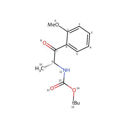 COc1ccccc1C(=O)[C@@H](C)NC(=O)OC(C)(C)C